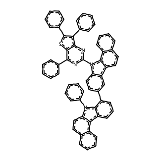 c1ccc(-c2sc3c(-c4ccccc4)nc(-n4c5ccc(-c6cccc7c8c9ccccc9ccc8n(-c8ccccc8)c67)cc5c5ccc6ccccc6c54)nc3c2-c2ccccc2)cc1